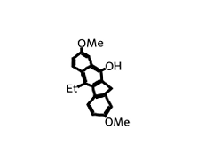 CCc1c2c(c(O)c3cc(OC)ccc13)Cc1cc(OC)ccc1-2